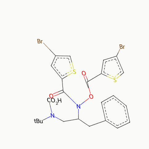 CC(C)(C)N(CC(Cc1ccccc1)N(OC(=O)c1cc(Br)cs1)C(=O)c1cc(Br)cs1)C(=O)O